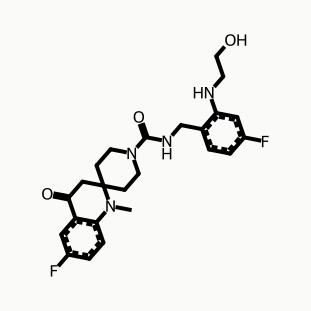 CN1c2ccc(F)cc2C(=O)CC12CCN(C(=O)NCc1ccc(F)cc1NCCO)CC2